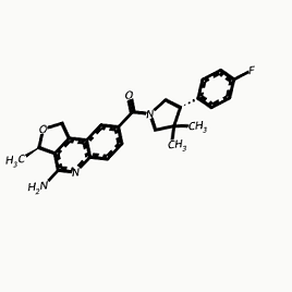 C[C@H]1OCc2c1c(N)nc1ccc(C(=O)N3C[C@H](c4ccc(F)cc4)C(C)(C)C3)cc21